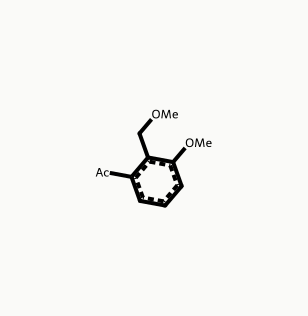 COCc1c(OC)cccc1C(C)=O